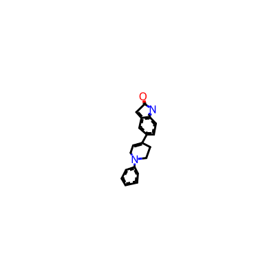 O=C1C=c2cc(C3=CCN(c4ccccc4)CC3)ccc2=N1